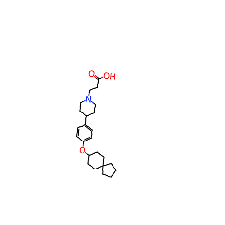 O=C(O)CCN1CCC(c2ccc(OC3CCC4(CCCC4)CC3)cc2)CC1